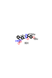 CCCc1nc(COC)c(-c2ccc(OC(C)(C)C)cc2)c(=O)n1Cc1ccc(-c2ccccc2-c2noc(=O)[nH]2)cc1.[KH]